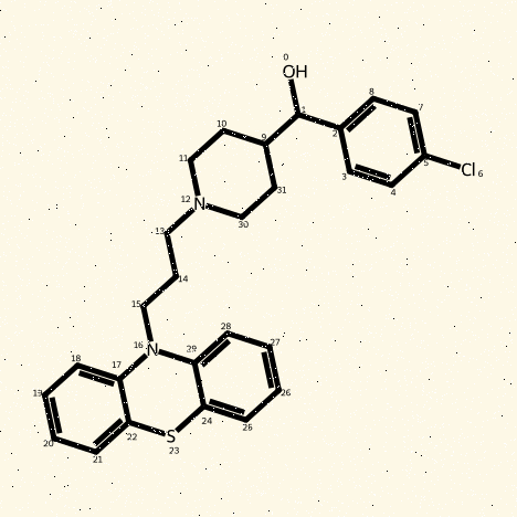 OC(c1ccc(Cl)cc1)C1CCN(CCCN2c3ccccc3Sc3ccccc32)CC1